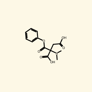 CN(C)C(CC(=O)O)(C(=O)O)C(=O)Oc1ccccc1